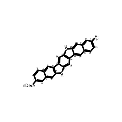 CCCCCCCCCCc1ccc2cc3c(cc2c1)sc1cc2c(cc13)sc1cc3cc(CC)ccc3cc12